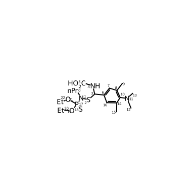 CCCN(SC(NC(=O)O)c1cc(C)c(N(C)C)c(C)c1)P(=S)(OCC)OCC